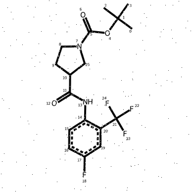 CC(C)(C)OC(=O)N1CCC(C(=O)Nc2ccc(F)cc2C(F)(F)F)C1